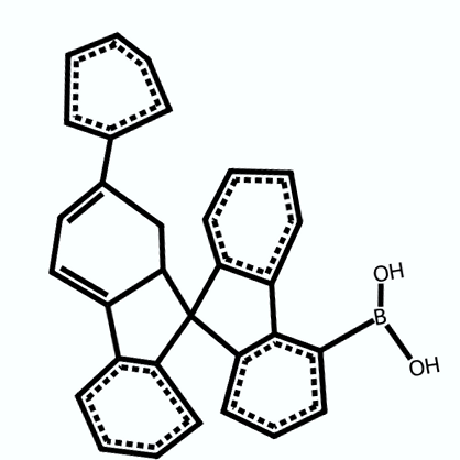 OB(O)c1cccc2c1-c1ccccc1C21c2ccccc2C2=CC=C(c3ccccc3)CC21